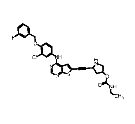 CCNC(=O)OC1CNC(C#Cc2cc3c(Nc4ccc(OCc5cccc(F)c5)c(Cl)c4)ncnc3s2)C1